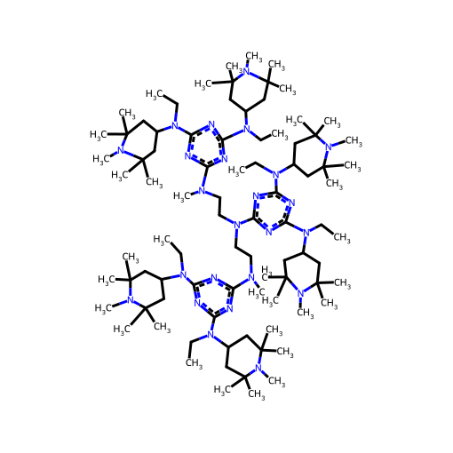 CCN(c1nc(N(C)CCN(CCN(C)c2nc(N(CC)C3CC(C)(C)N(C)C(C)(C)C3)nc(N(CC)C3CC(C)(C)N(C)C(C)(C)C3)n2)c2nc(N(CC)C3CC(C)(C)N(C)C(C)(C)C3)nc(N(CC)C3CC(C)(C)N(C)C(C)(C)C3)n2)nc(N(CC)C2CC(C)(C)N(C)C(C)(C)C2)n1)C1CC(C)(C)N(C)C(C)(C)C1